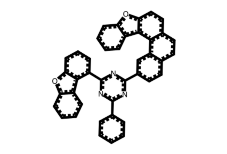 c1ccc(-c2nc(-c3ccc4ccc5ccc6oc7ccccc7c6c5c4c3)nc(-c3cccc4oc5ccccc5c34)n2)cc1